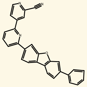 N#Cc1cc(-c2cccc(-c3ccc4c(c3)oc3cc(-c5ccccc5)ccc34)n2)ccn1